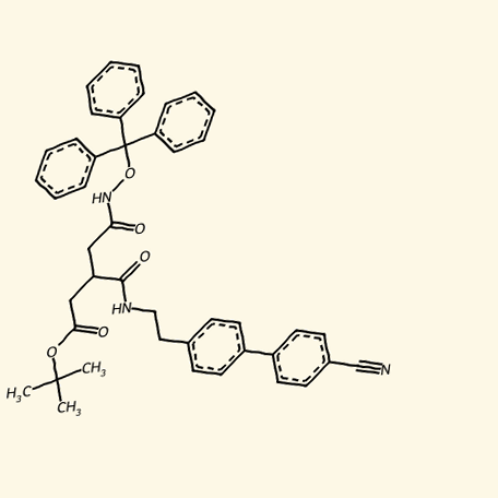 CC(C)(C)OC(=O)CC(CC(=O)NOC(c1ccccc1)(c1ccccc1)c1ccccc1)C(=O)NCCc1ccc(-c2ccc(C#N)cc2)cc1